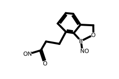 O=NB1OCc2cccc(CCC(=O)N=O)c21